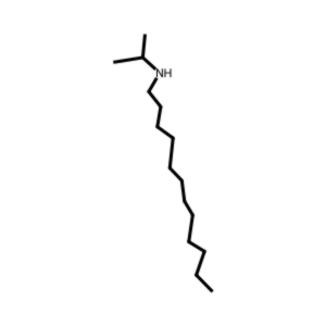 CCCCCCCCCCCCNC(C)C